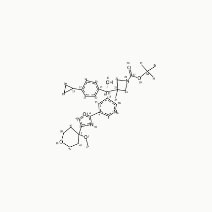 COC1(c2noc(-c3cncc([C@@](O)(c4ccc(C5CC5)cc4)C4(C)CN(C(=O)OC(C)(C)C)C4)c3)n2)CCOCC1